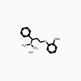 COc1ccccc1OCCC(c1ccccc1)N(C)C.Cl